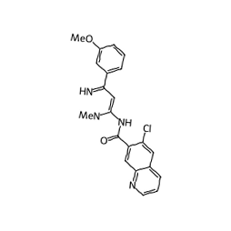 CN/C(=C\C(=N)c1cccc(OC)c1)NC(=O)c1cc2ncccc2cc1Cl